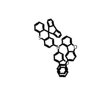 c1ccc(-c2ccc3oc4cccc(N(c5ccc6c(c5)C5(c7ccccc7S6)c6ccccc6-c6ccccc65)c5ccc6c(c5)oc5ccccc56)c4c3c2)cc1